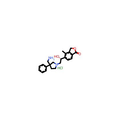 Cc1c([C@@H](O)CN2CCC(CN)(c3ccccc3)C2)ccc2c1COC2=O.Cl